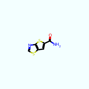 NC(=O)c1cc2scnc2s1